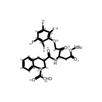 CC(C)(C)OC(=O)CC(NC(=O)C1Cc2ccccc2N(C(=O)C=O)C1)C(=O)COc1c(F)c(F)cc(F)c1F